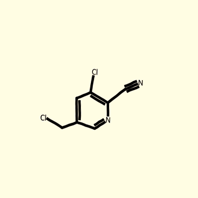 N#Cc1ncc(CCl)cc1Cl